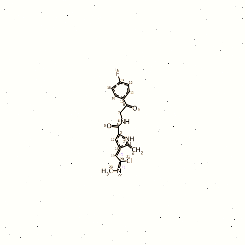 C=c1[nH]c(C(=O)NCC(=O)c2ccc(F)cc2)c/c1=C/C(Cl)=N\C